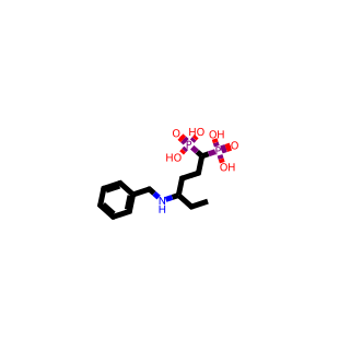 CCC(CCC(P(=O)(O)O)P(=O)(O)O)NCc1ccccc1